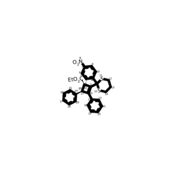 CCOC(=O)[C@@H]1C(C2(c3ccc([N+](=O)[O-])cc3)SCCCS2)=C(c2ccccc2)[C@H]1c1ccccc1